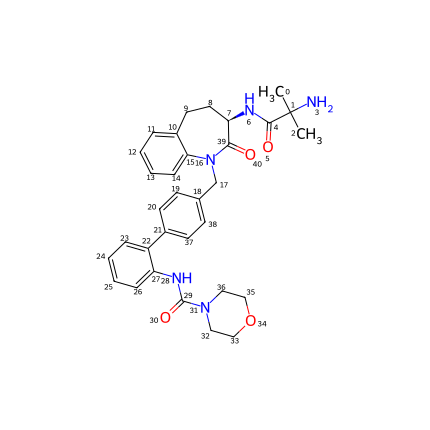 CC(C)(N)C(=O)N[C@@H]1CCc2ccccc2N(Cc2ccc(-c3ccccc3NC(=O)N3CCOCC3)cc2)C1=O